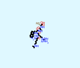 CC(C)NCCCC[C@H](N)C(=O)N[C@H](CCCNC(=N)N)C(=O)N[C@@H](Cc1ccc2ccccc2c1)C(=O)N[C@H](C)C(=O)N[C@H](CS)C(=O)O